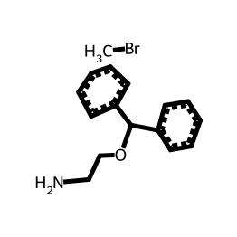 CBr.NCCOC(c1ccccc1)c1ccccc1